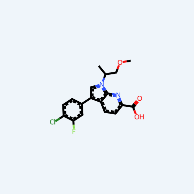 COCC(C)n1cc(-c2ccc(Cl)c(F)c2)c2ccc(C(=O)O)nc21